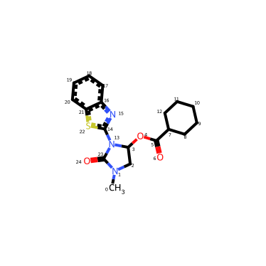 CN1CC(OC(=O)C2CCCCC2)N(c2nc3ccccc3s2)C1=O